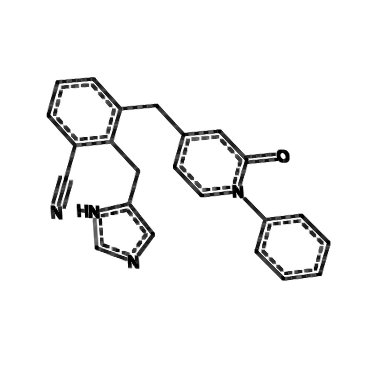 N#Cc1cccc(Cc2ccn(-c3ccccc3)c(=O)c2)c1Cc1cnc[nH]1